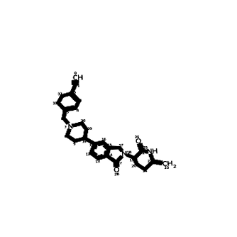 C#CC1=CC=C(CN2CCC(c3ccc4c(c3)CN(C3CCC(=C)NC3=O)C4=O)CC2)CC1